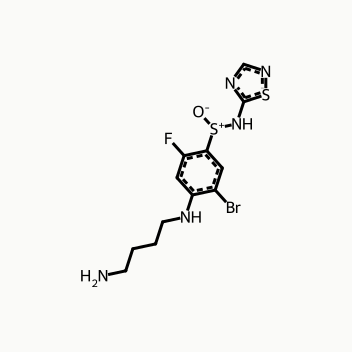 NCCCCNc1cc(F)c([S+]([O-])Nc2ncns2)cc1Br